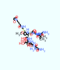 CC[C@H](C)[C@H](NC(=O)CN)C(=O)NCC(=O)N[C@H](C=O)C[S+]([O-])c1[nH]c2c(CSCCNC(=O)CCCCCN3C(=O)C=CC3=O)c(OC)ccc2c1C[C@@H](CO)NC(=O)[C@@H](NC(=O)C[C@@H](O)CNC(=O)[C@@H](N)CC(N)=O)[C@@H](C)[C@@H](O)CO